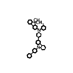 CC1(C)c2ccccc2-c2ccc(N(c3ccccc3)C3C=CC(c4ccc5c(c4)C4C=CC=CC4N5c4ccc(-c5ccccc5)cc4)=CC3)cc21